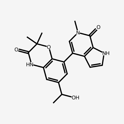 CC(O)c1cc2c(c(-c3cn(C)c(=O)c4[nH]ccc34)c1)OC(C)(C)C(=O)N2